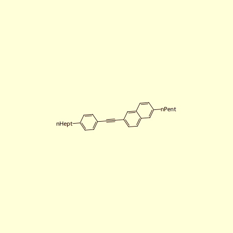 CCCCCCCc1ccc(C#Cc2ccc3cc(CCCCC)ccc3c2)cc1